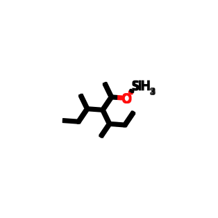 CCC(C)C(C(C)CC)C(C)O[SiH3]